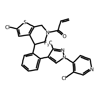 C=CC(=O)N1Cc2sc(Cl)cc2C(c2ccccc2-c2cn(-c3ccncc3Cl)nc2C(F)(F)F)C1